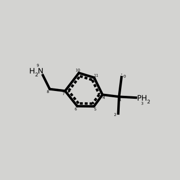 [CH2]C(C)(P)c1ccc(CN)cc1